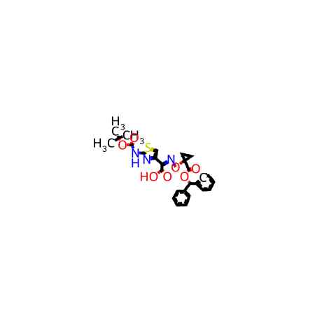 CC(C)(C)OC(=O)Nc1nc(C(=NOC2(C(=O)OC(c3ccccc3)c3ccccc3)CC2)C(=O)O)cs1